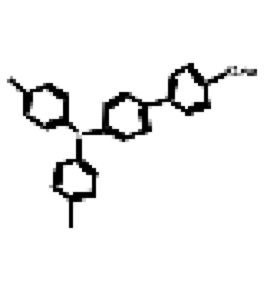 COc1ccc(-c2ccc(N(c3ccc(C)cc3)c3ccc(C)cc3)cc2)cc1